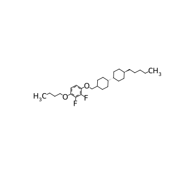 CCCCC[C@H]1CC[C@H](C2CCC(COc3ccc(OCCCC)c(F)c3F)CC2)CC1